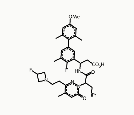 COc1cc(C)c(-c2cc(C)c(F)c(C(CC(=O)O)NC(=O)C(CC(C)C)n3nc(CCN4CC(F)C4)c(C)cc3=O)c2)c(C)c1